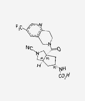 N#CN1C[C@@H]2C[C@@H](NC(=O)O)C[C@]2(C(=O)N2CCc3ncc(C(F)(F)F)cc3C2)C1